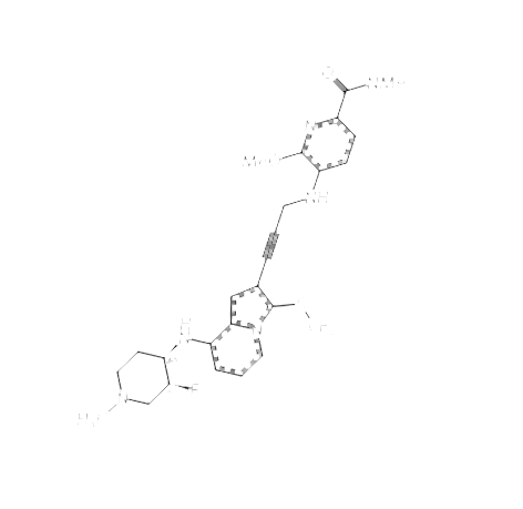 CNC(=O)c1ccc(NCC#Cc2cc3c(N[C@@H]4CCN(C)C[C@@H]4F)cccn3c2SC(F)(F)F)c(OC)n1